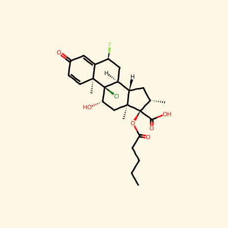 CCCCC(=O)O[C@]1(C(=O)O)[C@@H](C)C[C@H]2[C@@H]3C[C@H](F)C4=CC(=O)C=C[C@]4(C)[C@@]3(Cl)[C@@H](O)C[C@@]21C